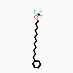 FC(F)(F)OCCCCCCCCCCCCc1ccccc1